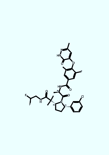 Cc1cc(Oc2c(C)cc(C(=O)N[C@H](C)C(=O)N3[C@H](c4cccc(Cl)c4)CC[C@@H]3C(C)(C)C(=O)NCC(F)F)cc2F)c(=O)[nH]n1